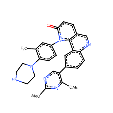 COc1ncc(-c2ccc3ncc4ccc(=O)n(-c5ccc(N6CCNCC6)c(C(F)(F)F)c5)c4c3c2)c(OC)n1